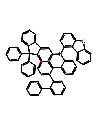 c1ccc(-c2ccccc2-c2ccccc2-c2ccccc2N(c2ccc3c(c2)-c2ccccc2C3(c2ccccc2)c2ccccc2)c2cccc3oc4ccccc4c23)cc1